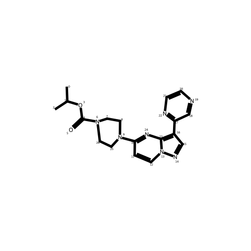 CC(C)OC(=O)N1CCN(c2ccn3ncc(-c4cnccn4)c3n2)CC1